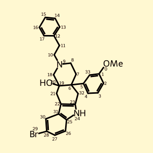 COc1cccc(C23CCN(CCc4ccccc4)CC2(O)Cc2c([nH]c4ccc(Br)cc24)C3)c1